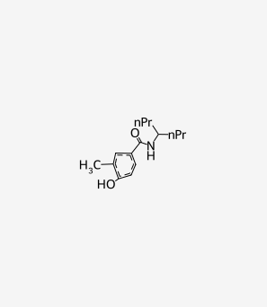 CCCC(CCC)NC(=O)c1ccc(O)c(C)c1